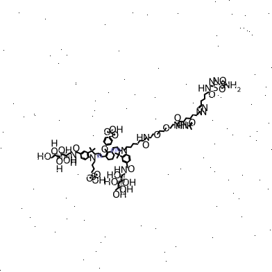 CC(=O)NC(CCCCn1cc(CCCC(=O)Nc2nnc(S(N)(=O)=O)s2)nn1)C(=O)NCCOCCOCCNC(=O)CCCCCN1/C(=C/C=C2\CCCC(/C=C/C3=[N+](CCCCS(=O)(=O)O)c4ccc(C(=O)NC[C@H](O)[C@@H](O)[C@H](O)[C@H](O)CO)cc4C3(C)C)=C2Oc2ccc(S(=O)(=O)O)cc2)C(C)(C)c2cc(C(=O)NC[C@H](O)[C@@H](O)[C@H](O)[C@H](O)CO)ccc21